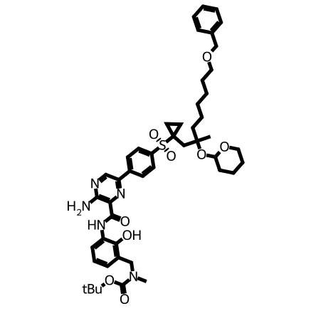 CN(Cc1cccc(NC(=O)c2nc(-c3ccc(S(=O)(=O)C4(CC(C)(CCCCCCOCc5ccccc5)OC5CCCCO5)CC4)cc3)cnc2N)c1O)C(=O)OC(C)(C)C